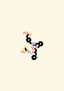 N[C@@H](CC(=O)N1Cc2ccccc2C[C@H]1C(=O)NCc1ccc(CC(=O)O)cc1)Cc1ccccc1F.O=C(O)C(F)(F)F